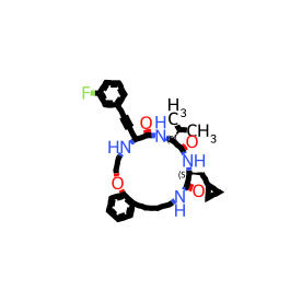 CC(C)[C@H]1NC(=O)C(C#Cc2cccc(F)c2)NCCOc2ccccc2CCCNC(=O)[C@H](CC2CC2)NC1=O